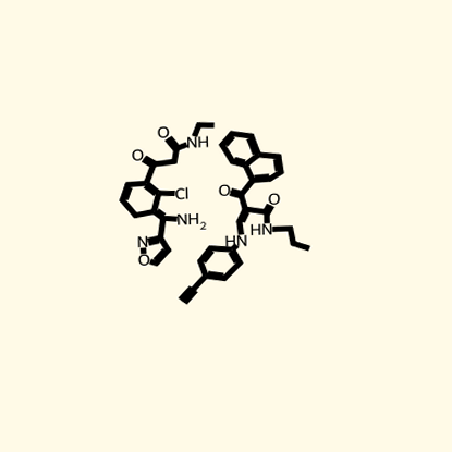 C#Cc1ccc(NC=C(C(=O)NCCC)C(=O)c2cccc3ccccc23)cc1.CCNC(=O)CC(=O)C1=C(Cl)C(=C(N)c2ccon2)CC=C1